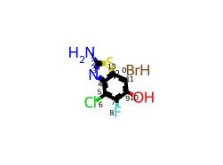 Br.Nc1nc2c(Cl)c(F)c(O)cc2s1